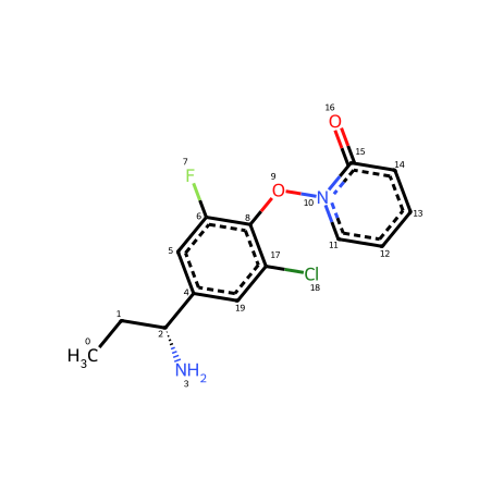 CC[C@@H](N)c1cc(F)c(On2ccccc2=O)c(Cl)c1